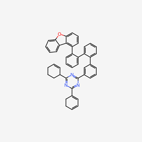 C1=CCCC(c2nc(-c3cccc(-c4ccccc4-c4ccccc4-c4cccc5oc6ccccc6c45)c3)nc(C3C=CCCC3)n2)=C1